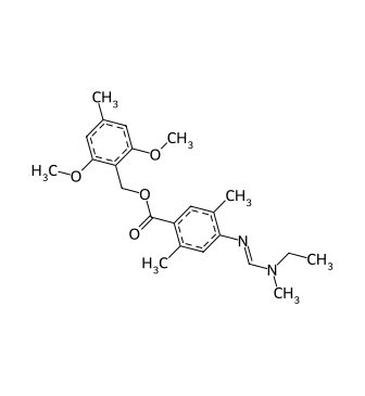 CCN(C)/C=N/c1cc(C)c(C(=O)OCc2c(OC)cc(C)cc2OC)cc1C